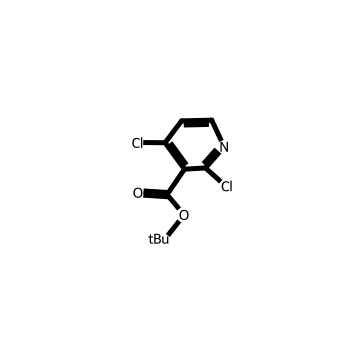 CC(C)(C)OC(=O)c1c(Cl)ccnc1Cl